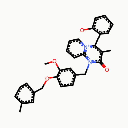 COc1cc(Cn2c(=O)c(C)c(-c3ccccc3[O-])[n+]3ccccc23)ccc1OCc1cccc(C)c1